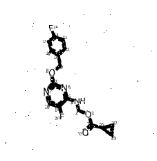 O=C(OCNc1nc(OCc2ccc(F)cc2)ncc1F)C1CC1